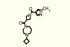 Cn1cc(C(=O)N2CC(C(=O)N3CCCN(C4CCC4)CC3)C2)cn1